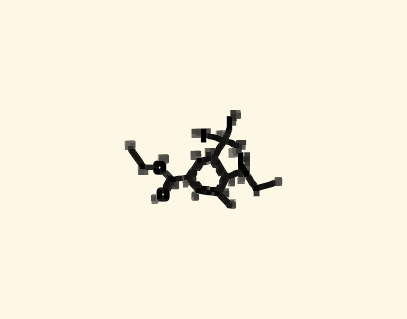 CCNc1c(C)cc(C(=O)OCC)cc1C(F)(F)F